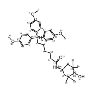 COc1ccc([PH](CCCCCC(=O)NC2CC(C)(C)N(O)C(C)(C)C2)(c2ccc(OC)cc2)c2ccc(OC)cc2)cc1